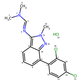 CN(C)C=Nc1c2cccc(-c3ccc(Cl)cc3Cl)c2nn1C.Cl